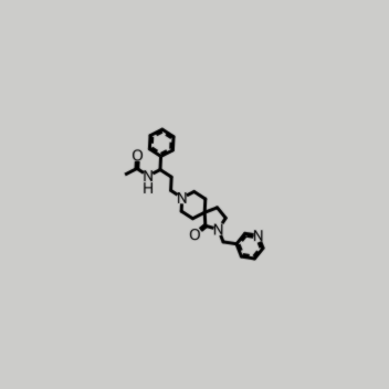 CC(=O)NC(CCN1CCC2(CC1)CCN(Cc1cccnc1)C2=O)c1ccccc1